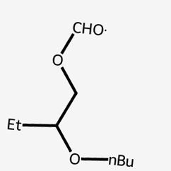 CCCCOC(CC)CO[C]=O